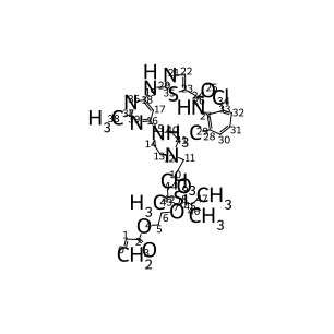 C=CC(=O)OCCO[Si](OCCN1CCN(c2cc(Nc3ncc(C(=O)Nc4c(C)cccc4Cl)s3)nc(C)n2)CC1)(C(C)C)C(C)C